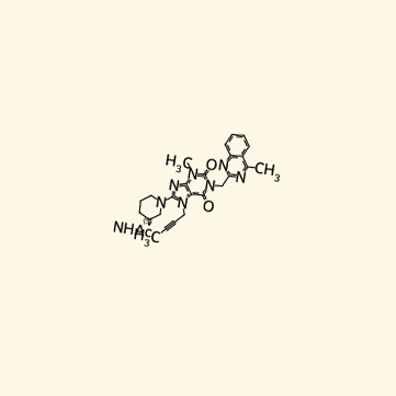 CC#CCn1c(N2CCC[C@H](NC(C)=O)C2)nc2c1c(=O)n(Cc1nc(C)c3ccccc3n1)c(=O)n2C